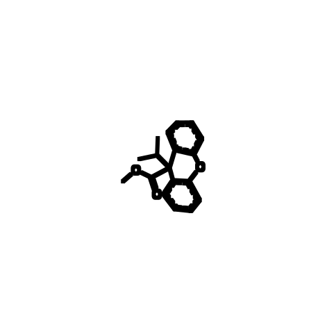 COC(=O)C1(C(C)C)c2ccccc2Oc2ccccc21